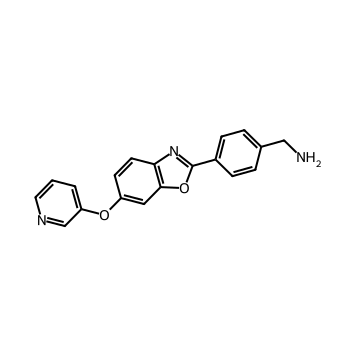 NCc1ccc(-c2nc3ccc(Oc4cccnc4)cc3o2)cc1